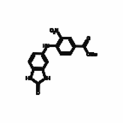 COC(=O)c1ccc(Nc2ccc3[nH]c(=O)[nH]c3c2)c([N+](=O)[O-])c1